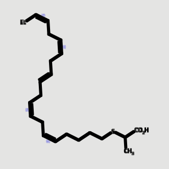 CC/C=C\C/C=C\CC=CC/C=C\C/C=C\CCCCSC(C)C(=O)O